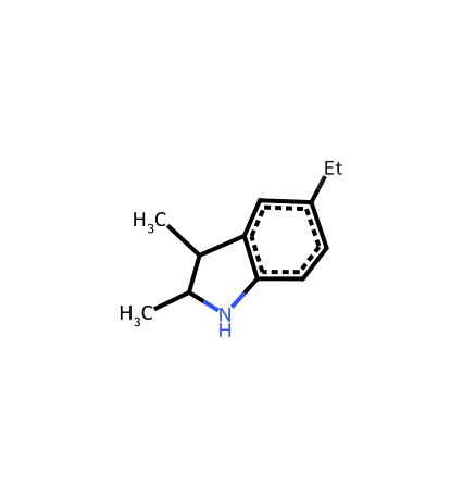 CCc1ccc2c(c1)C(C)C(C)N2